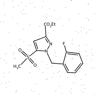 CCOC(=O)c1cc(S(C)(=O)=O)n(Cc2ccccc2F)n1